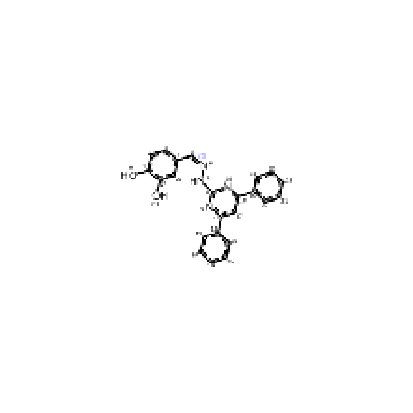 Oc1ccc(/C=N\Nc2nc(-c3ccccc3)cc(-c3ccccc3)n2)cc1O